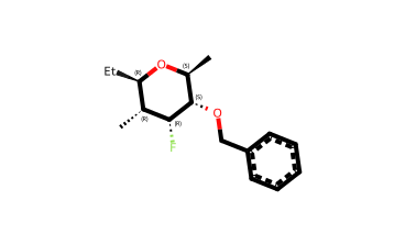 CC[C@H]1O[C@@H](C)[C@H](OCc2ccccc2)[C@H](F)[C@@H]1C